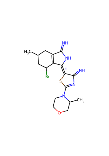 CC1CC2=C(/C(=C3\SC(N4CCOCC4C)=NC3=N)NC2=N)C(Br)C1